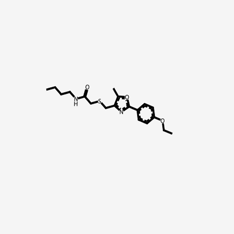 CCCCNC(=O)CSCc1nc(-c2ccc(OCC)cc2)oc1C